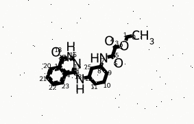 CCOC(=O)C(=O)NC1CCCC(Nc2n[nH]c(=O)c3ccccc23)C1